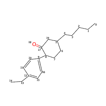 CCCCCC1CCC(c2ccc(CC)cc2)C(=O)C1